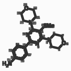 CSc1c(N2CCOCC2)nc(-c2ccc(N)cc2)nc1N1CCOCC1